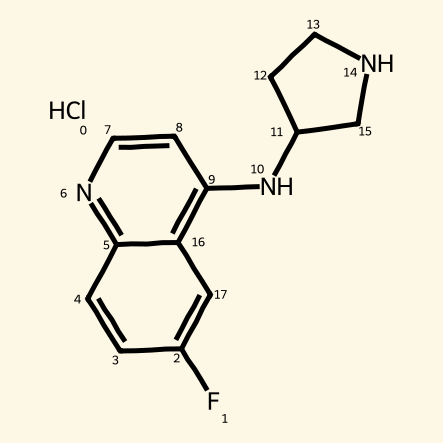 Cl.Fc1ccc2nccc(NC3CCNC3)c2c1